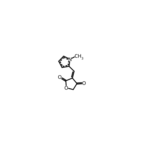 Cn1cccc1C=C1C(=O)COC1=O